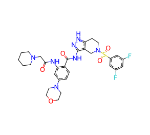 O=C(CN1CCCCC1)Nc1cc(N2CCOCC2)ccc1C(=O)Nc1n[nH]c2c1CN(S(=O)(=O)c1cc(F)cc(F)c1)CC2